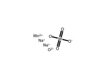 [Mn+2].[Na+].[Na+].[O-2].[O]=[W](=[O])([O-])[O-]